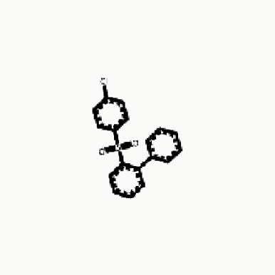 O=S(=O)(c1ccc(Cl)cc1)c1ccccc1-c1ccccc1